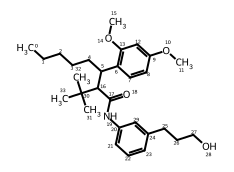 CCCCCC(c1ccc(OC)cc1OC)C(C(=O)Nc1cccc(CCCO)c1)C(C)(C)C